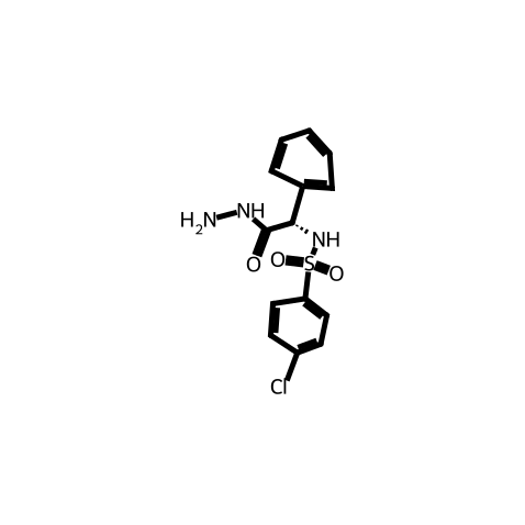 NNC(=O)[C@@H](NS(=O)(=O)c1ccc(Cl)cc1)c1ccccc1